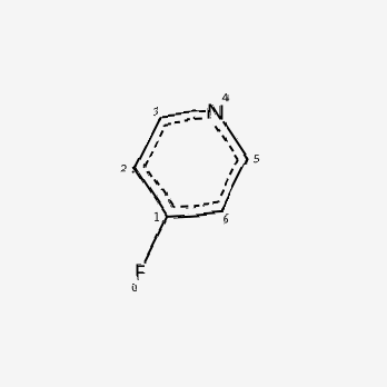 Fc1[c]cn[c]c1